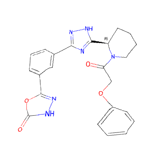 O=C(COc1ccccc1)N1CCCC[C@@H]1c1nc(-c2cccc(-c3n[nH]c(=O)o3)c2)n[nH]1